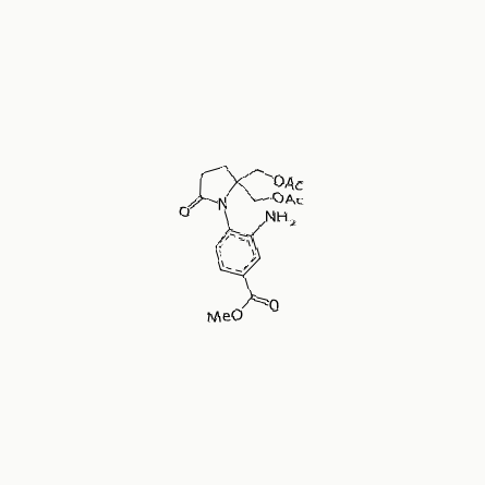 COC(=O)c1ccc(N2C(=O)CCC2(COC(C)=O)COC(C)=O)c(N)c1